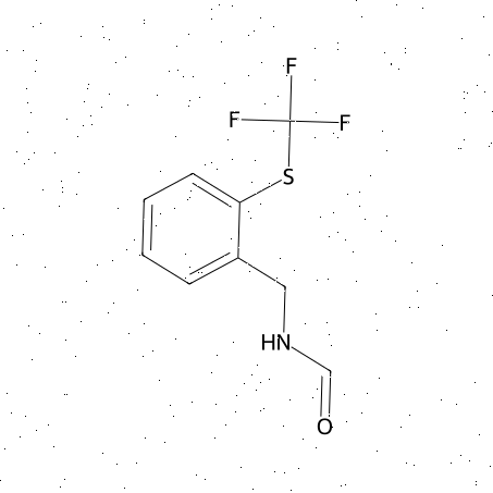 O=CNCc1ccccc1SC(F)(F)F